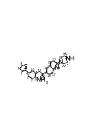 Nc1ccc(-c2cccs2)cc1CC(=O)c1ccc2nc(N3CCNCC3)ccc2c1